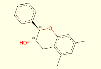 Cc1cc(C)c2c(c1)O[C@H](c1ccccc1)[C@@H](O)C2